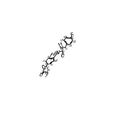 CN1CC(c2ccc(NC(=O)NCc3ccc(F)cc3)cc2)OC1=O